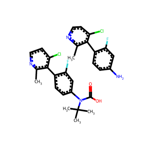 Cc1nccc(Cl)c1-c1ccc(N(C(=O)O)C(C)(C)C)cc1F.Cc1nccc(Cl)c1-c1ccc(N)cc1F